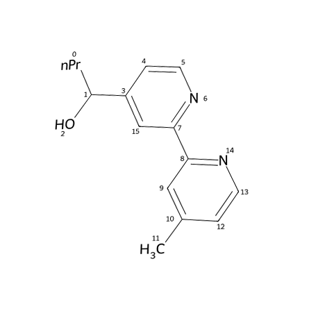 CCCC(O)c1ccnc(-c2cc(C)ccn2)c1